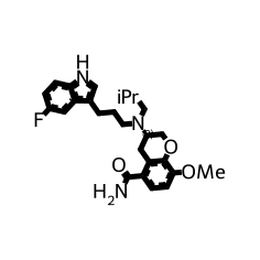 COc1ccc(C(N)=O)c2c1OC[C@H](N(CCCc1c[nH]c3ccc(F)cc13)CC(C)C)C2